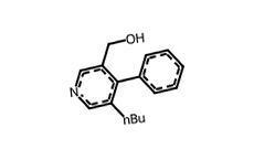 CCCCc1cncc(CO)c1-c1ccccc1